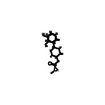 COC(=O)CC1CCC(c2cccc(C)c2C)CC1